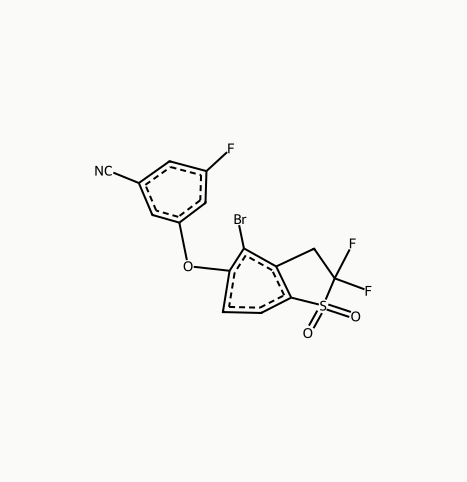 N#Cc1cc(F)cc(Oc2ccc3c(c2Br)CC(F)(F)S3(=O)=O)c1